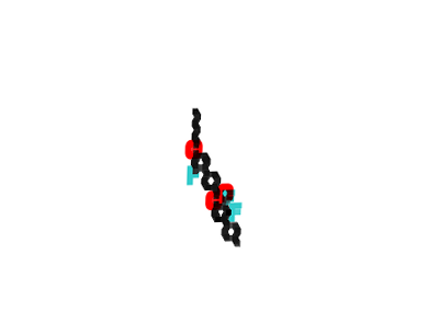 CCCCCCOc1ccc(C2CCC(C(=O)Oc3ccc(C4CCC(C)CC4)c(F)c3F)CC2)c(F)c1